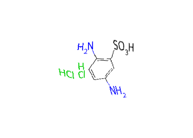 Cl.Cl.Nc1ccc(N)c(S(=O)(=O)O)c1